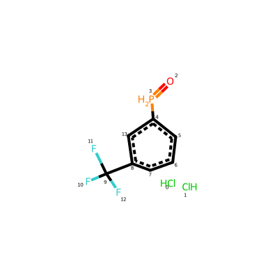 Cl.Cl.O=[PH2]c1cccc(C(F)(F)F)c1